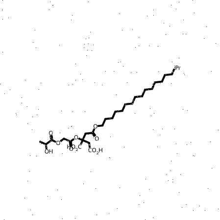 CC(C)CCCCCCCCCCCCCCCOC(=O)CC(CC(=O)O)(OC(=O)COC(=O)C(C)O)C(=O)O